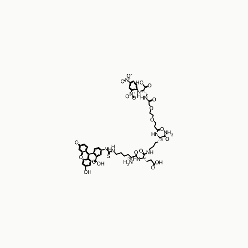 NC(=O)[C@H](CCCCNC(=O)[C@H](CCC(=O)O)NC(=O)[C@@H](N)CCCCNC(=S)Nc1ccc(-c2c3ccc(=O)cc-3oc3cc(O)ccc23)c(C(=O)O)c1)NC(=O)CCOCCOCC(=O)NC[C@H](Nc1ccc([N+](=O)[O-])cc1[N+](=O)[O-])C(=O)O